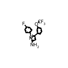 Nc1cc(-c2cccc(OC(F)(F)F)c2)n(-c2ccc(F)cc2)n1